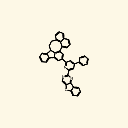 c1ccc(-c2cc(-c3cc4c5c(c3)-c3cccc6cccc(c36)CCC5c3ccccc3-4)nc(-c3ncc4oc5ccccc5c4n3)c2)cc1